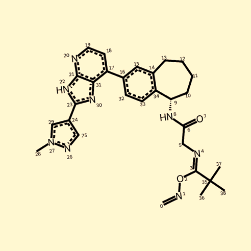 C=NO/C(=N\CC(=O)N[C@H]1CCCCc2cc(-c3ccnc4[nH]c(-c5cnn(C)c5)nc34)ccc21)C(C)(C)C